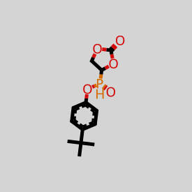 CC(C)(C)c1ccc(O[PH](=O)C2COC(=O)O2)cc1